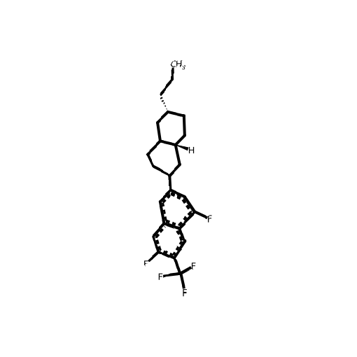 CCC[C@@H]1CC[C@@H]2CC(c3cc(F)c4cc(C(F)(F)F)c(F)cc4c3)CCC2C1